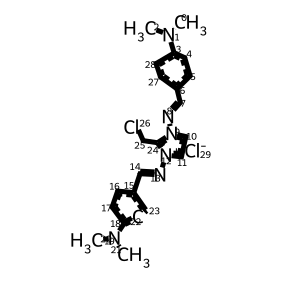 CN(C)c1ccc(C=Nn2cc[n+](N=Cc3ccc(N(C)C)cc3)c2CCl)cc1.[Cl-]